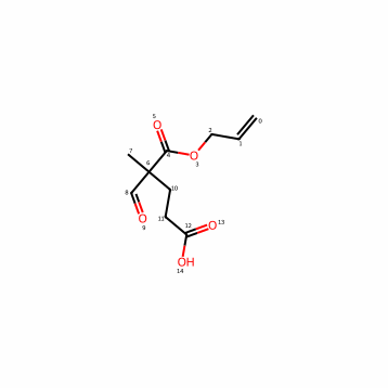 C=CCOC(=O)C(C)(C=O)CCC(=O)O